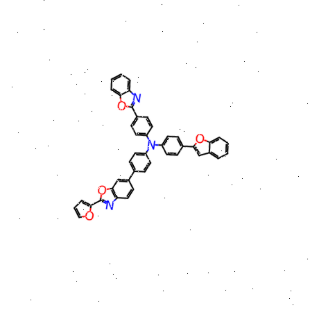 c1coc(-c2nc3ccc(-c4ccc(N(c5ccc(-c6cc7ccccc7o6)cc5)c5ccc(-c6nc7ccccc7o6)cc5)cc4)cc3o2)c1